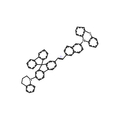 C(=C\c1ccc2cc(N3c4ccccc4Sc4ccccc43)ccc2c1)/c1ccc2c(c1)C1(c3ccccc3-c3ccccc31)c1cc(N3CCCc4ccccc43)ccc1-2